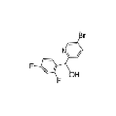 OC(c1ccc(Br)cn1)c1ccc(F)cc1F